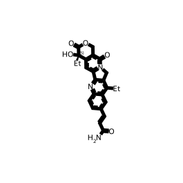 CCc1c2c(nc3ccc(C=CC(N)=O)cc13)-c1cc3c(c(=O)n1C2)COC(=O)[C@]3(O)CC